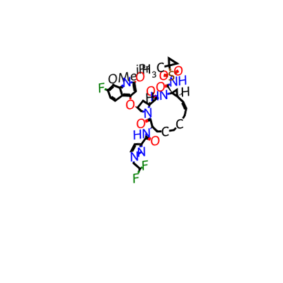 COc1c(F)ccc2c(O[C@@H]3C[C@H]4C(=O)N[C@]5(C(=O)NS(=O)(=O)C6(C)CC6)C[C@H]5C=CCCCCC[C@H](NC(=O)c5ccn(CC(F)F)n5)C(=O)N4C3)cc(OC(C)C)nc12